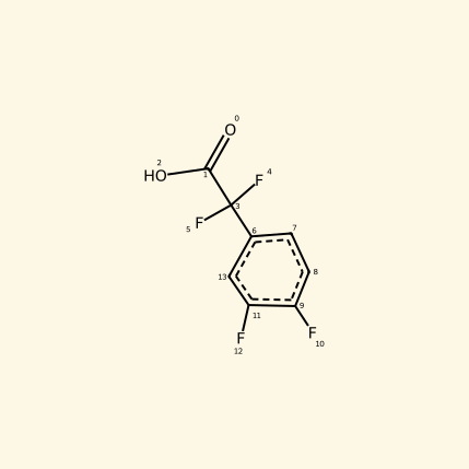 O=C(O)C(F)(F)c1ccc(F)c(F)c1